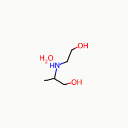 CC(CO)NCCO.O